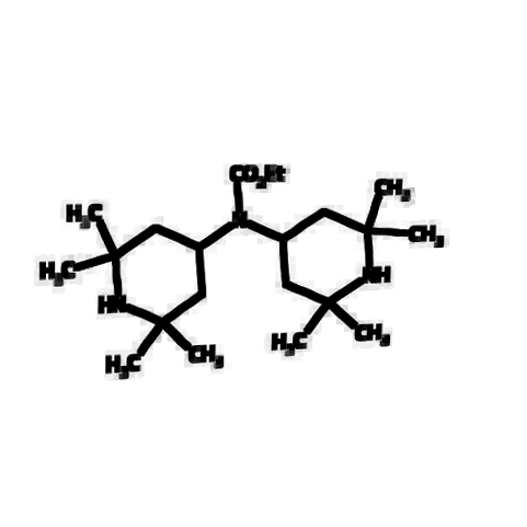 CCOC(=O)N(C1CC(C)(C)NC(C)(C)C1)C1CC(C)(C)NC(C)(C)C1